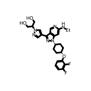 CCNc1cc2c(cn1)c(-c1cnn(C(CO)CO)c1)nn2[C@H]1CC[C@@H](Oc2cccc(F)c2F)CC1